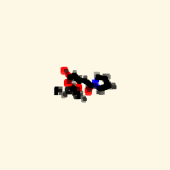 CC1(C)OC(=O)C=C(CC(=O)N2CCCC2)O1